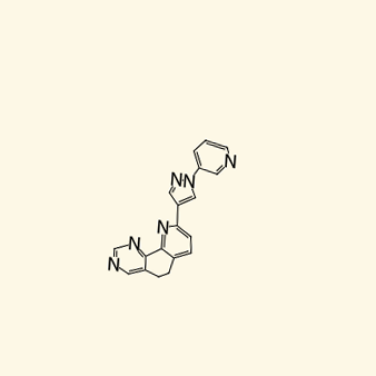 c1cncc(-n2cc(-c3ccc4c(n3)-c3ncncc3CC4)cn2)c1